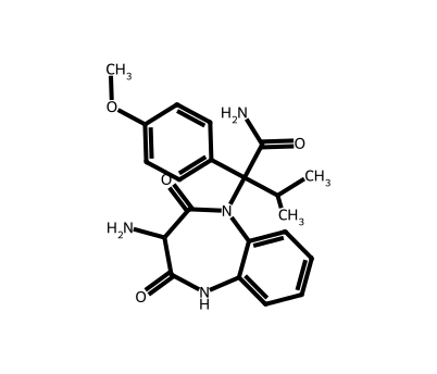 COc1ccc(C(C(N)=O)(C(C)C)N2C(=O)C(N)C(=O)Nc3ccccc32)cc1